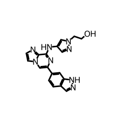 OCCn1cc(Nc2nc(-c3ccc4cn[nH]c4c3)cn3ccnc23)cn1